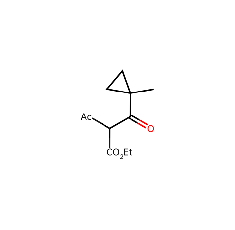 CCOC(=O)C(C(C)=O)C(=O)C1(C)CC1